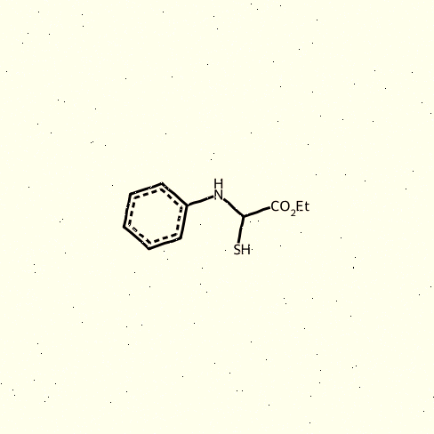 CCOC(=O)C(S)Nc1ccccc1